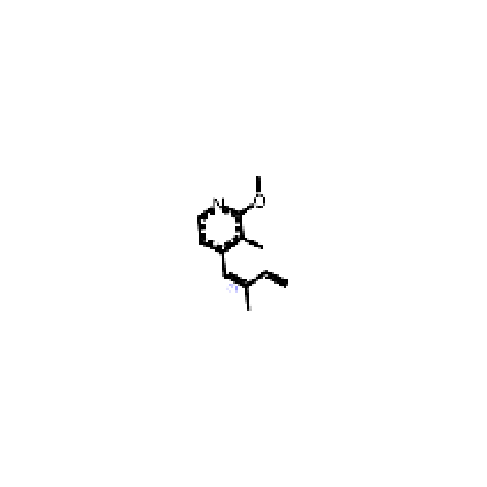 C=C/C(C)=C\c1ccnc(OC)c1C